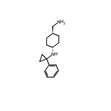 NC[C@H]1CC[C@H](NC2(c3ccccc3)CC2)CC1